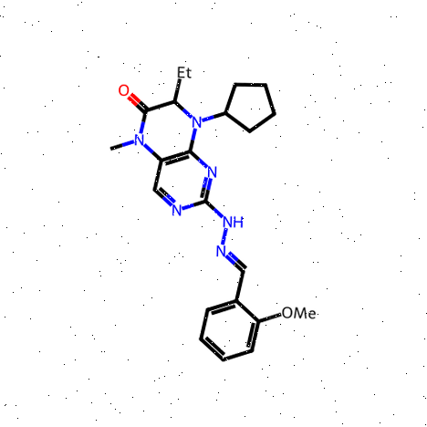 CCC1C(=O)N(C)c2cnc(N/N=C/c3ccccc3OC)nc2N1C1CCCC1